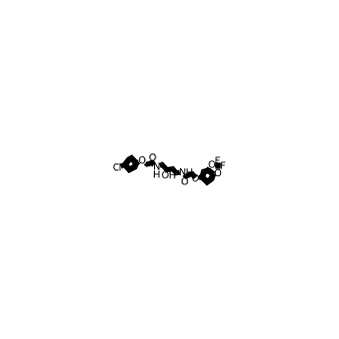 O=C(COc1ccc2c(c1)OC(F)(F)O2)NCC[C@H](O)CNC(=O)COc1ccc(Cl)cc1